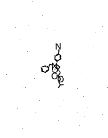 CC(C)COC(=O)C[C@@H]1C[C@H](c2ccc(C#N)cc2)N(Cc2ccccc2)O1